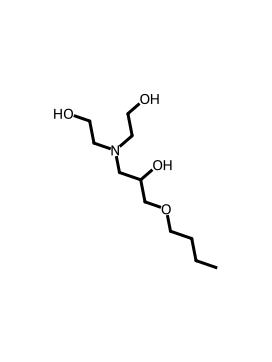 CCCCOCC(O)CN(CCO)CCO